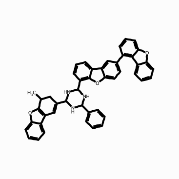 CC1CC(C2NC(c3ccccc3)NC(c3cccc4c3oc3ccc(-c5cccc6oc7ccccc7c56)cc34)N2)=Cc2c1oc1ccccc21